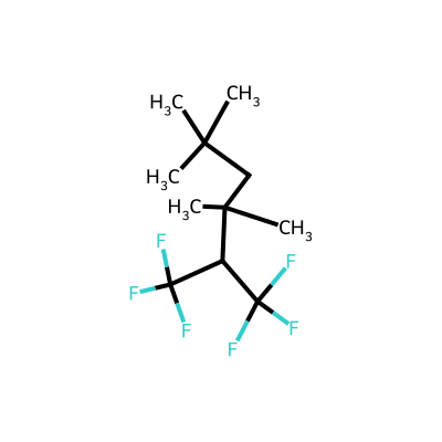 CC(C)(C)CC(C)(C)C(C(F)(F)F)C(F)(F)F